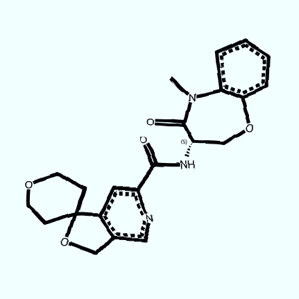 CN1C(=O)[C@@H](NC(=O)c2cc3c(cn2)COC32CCOCC2)COc2ccccc21